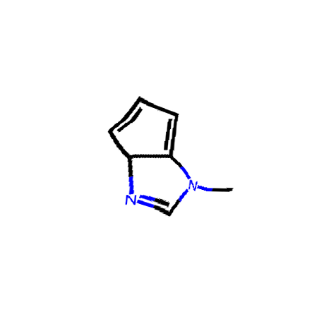 CN1C=NC2C=CC=C21